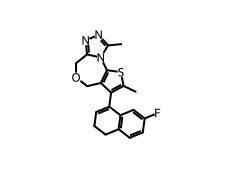 Cc1sc2c(c1C1=CCCc3ccc(F)cc31)COCc1nnc(C)n1-2